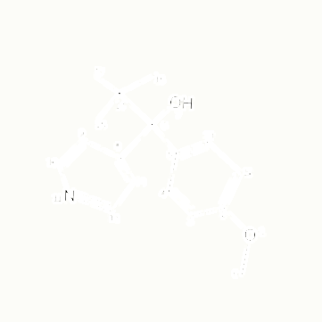 COc1ccc(C(O)(c2ccncc2)C(C)(C)C)cc1